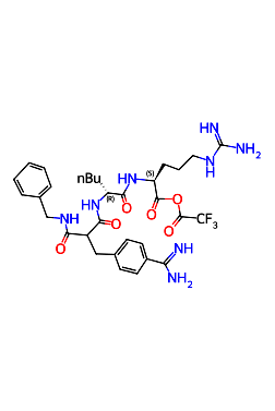 CCCC[C@@H](NC(=O)C(Cc1ccc(C(=N)N)cc1)C(=O)NCc1ccccc1)C(=O)N[C@@H](CCCNC(=N)N)C(=O)OC(=O)C(F)(F)F